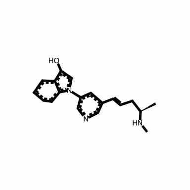 CN[C@H](C)C/C=C/c1cncc(-n2cc(O)c3ccccc32)c1